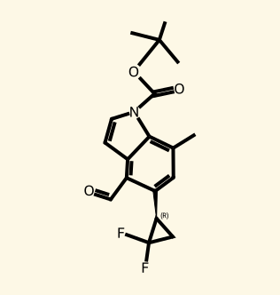 Cc1cc([C@H]2CC2(F)F)c(C=O)c2ccn(C(=O)OC(C)(C)C)c12